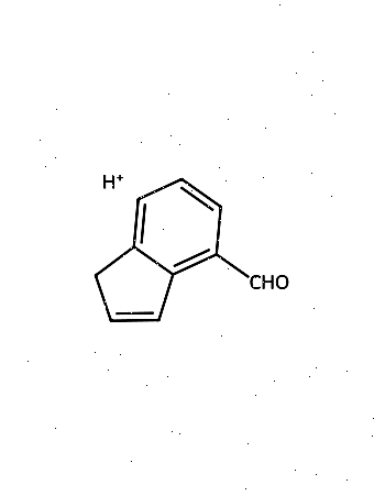 O=Cc1cccc2c1C=CC2.[H+]